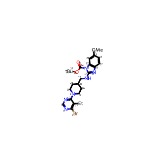 CCc1c(Br)ncnc1N1CCC(CNc2nc3ccc(OC)cc3n2C(=O)OC(C)(C)C)CC1